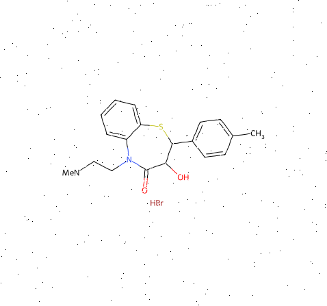 Br.CNCCN1C(=O)C(O)C(c2ccc(C)cc2)Sc2ccccc21